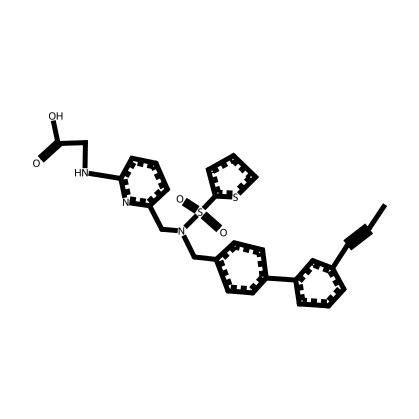 CC#Cc1cccc(-c2ccc(CN(Cc3cccc(NCC(=O)O)n3)S(=O)(=O)c3cccs3)cc2)c1